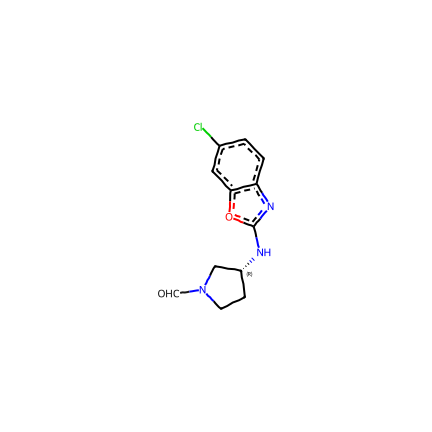 O=CN1CC[C@@H](Nc2nc3ccc(Cl)cc3o2)C1